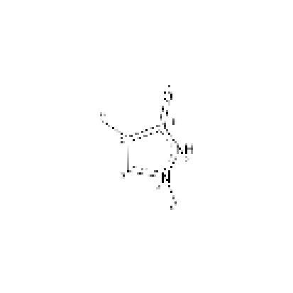 Cc1cn(C)[nH]c1=O